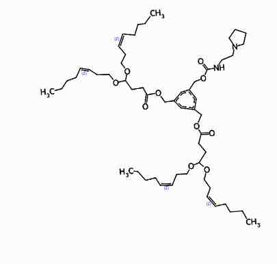 CCCC/C=C\CCOC(CCC(=O)OCc1cc(COC(=O)CCC(OCC/C=C\CCCC)OCC/C=C\CCCC)cc(COC(=O)NCCN2CCCC2)c1)OCC/C=C\CCCC